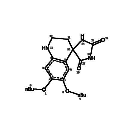 CCCCOc1cc2c(cc1OCCCC)C1(CCN2)NC(=O)NC1=O